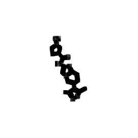 Cc1noc(C)c1-c1ccc2nc(NC(=O)[C@H]3CCN(C#N)C3)cn2c1